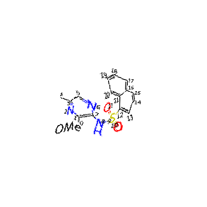 COc1nc(C)cnc1NS(=O)(=O)c1cccc2ccccc12